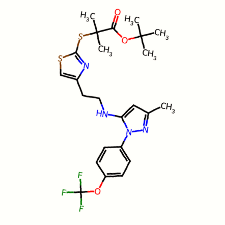 Cc1cc(NCCc2csc(SC(C)(C)C(=O)OC(C)(C)C)n2)n(-c2ccc(OC(F)(F)F)cc2)n1